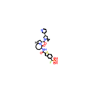 O=C(N[C@H]1CCCC[C@H]2CC[C@@H](C(=O)N3C[C@@H](c4cccnc4)CC34CC4)N2C1=O)c1cc2cc([C@@H](F)P(=O)(O)O)ccc2s1